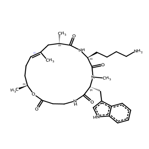 C/C1=C\CC[C@H](C)OC(=O)CCNC(=O)[C@@H](Cc2c[nH]c3ccccc23)N(C)C(=O)[C@H](CCCCN)NC(=O)[C@@H](C)C1